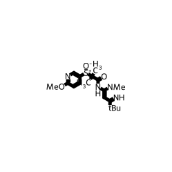 CN/C(=C\C(=N)C(C)(C)C)NC(=O)C(C)(C)[S+]([O-])c1ccc(OC)nc1